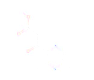 COC(=O)CC(=O)c1ncc(C)nc1C